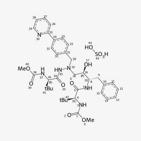 COC(=O)N[C@H](C(=O)N[C@@H](Cc1ccccc1)[C@H](O)CN(Cc1ccc(-c2ccccn2)cc1)NC(=O)[C@H](NC(=O)OC)C(C)(C)C)C(C)(C)C.O=S(=O)(O)O